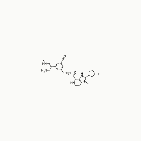 CN/C=C(\CN)c1cc(C#N)cc(CNCC(=O)C2NC=CC3=C2NC(C2CCC(F)C2)N3C)c1